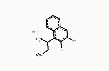 CCCCCCCCCCCC(N)c1c(CC)c(CC)cc2ccccc12.Cl